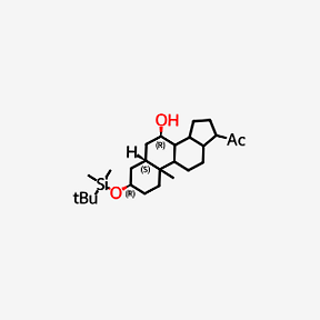 CC(=O)C1CCC2C1CCC1C2[C@H](O)C[C@H]2C[C@H](O[Si](C)(C)C(C)(C)C)CCC12C